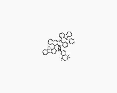 CC1(C)CCC(C)(C)c2cc(Nc3ccc4c(oc5ccccc54)c3-c3c4c(cc5ccccc35)N3c5ccccc5C(c5ccccc5)(c5ccccc5)c5cccc(c53)B4)ccc21